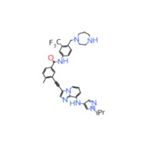 Cc1ccc(C(=O)Nc2ccc(CN3CCCNCC3)c(C(F)(F)F)c2)cc1C#Cc1cnc2c(Nc3cnn(C(C)C)c3)cccn12